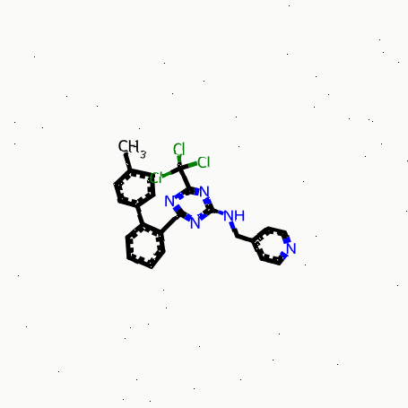 Cc1ccc(-c2ccccc2-c2nc(NCc3ccncc3)nc(C(Cl)(Cl)Cl)n2)cc1